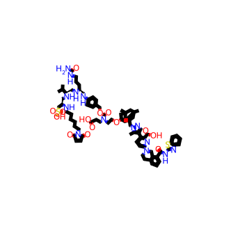 Cc1c(-c2ccc(N3CCc4cccc(C(=O)Nc5nc6ccccc6s5)c4C3)nc2C(=O)O)cnn1CC12CC3(C)CC(C)(C1)CC(OCCN(CCC(=O)O)C(=O)OCc1ccc(NC[C@H](CCCNC(N)=O)NC[C@@H](NC[C@H](CS(=O)(=O)O)NCCCCCCN4C(=O)C=CC4=O)C(C)C)cc1)(C3)C2